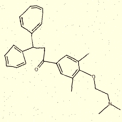 Cc1cc(C(=O)CC(c2ccccc2)c2ccccc2)cc(C)c1OCCN(C)C